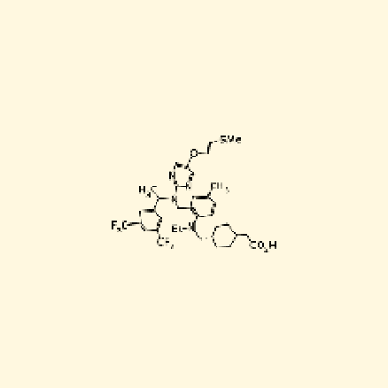 CCN(C[C@H]1CC[C@H](CC(=O)O)CC1)c1ccc(C)cc1CN(c1ncc(OCCSC)cn1)C(C)c1cc(C(F)(F)F)cc(C(F)(F)F)c1